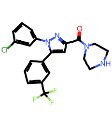 O=C(c1cc(-c2cccc(C(F)(F)F)c2)n(-c2cccc(Cl)c2)n1)N1CCNCC1